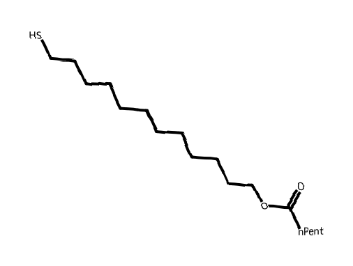 CCCCCC(=O)OCCCCCCCCCCCCS